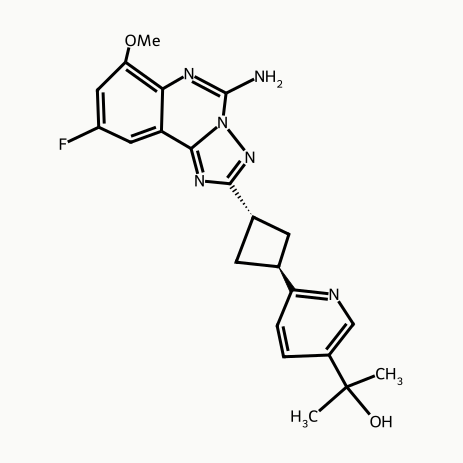 COc1cc(F)cc2c1nc(N)n1nc([C@H]3C[C@H](c4ccc(C(C)(C)O)cn4)C3)nc21